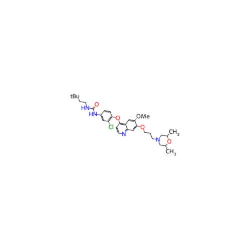 COc1cc2c(Oc3ccc(NC(=O)NCCC(C)(C)C)cc3Cl)ccnc2cc1OCCCN1CC(C)OC(C)C1